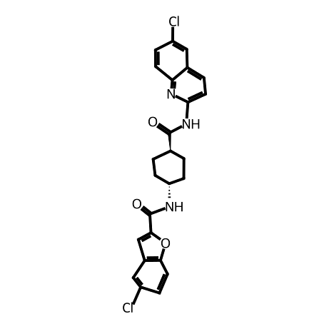 O=C(N[C@H]1CC[C@H](C(=O)Nc2ccc3cc(Cl)ccc3n2)CC1)c1cc2cc(Cl)ccc2o1